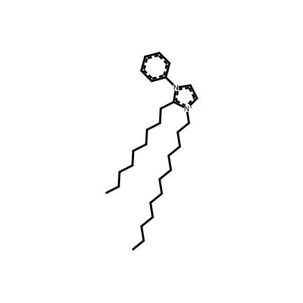 CCCCCCCCCCCC[n+]1ccn(-c2ccccc2)c1CCCCCCCCC